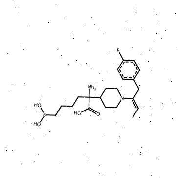 C/C=C(/Cc1ccc(F)cc1)N1CCC(C(N)(CCCCB(O)O)C(=O)O)CC1